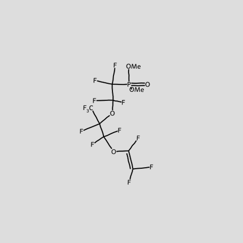 COP(=O)(OC)C(F)(F)C(F)(F)OC(F)(C(F)(F)F)C(F)(F)OC(F)=C(F)F